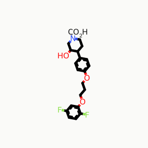 O=C(O)N1CCC(c2ccc(OCCCOc3cc(F)ccc3F)cc2)C(O)C1